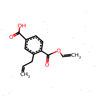 C=CCc1cc(C(=O)O)ccc1C(=O)OC=C